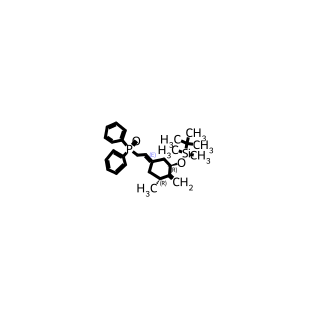 C=C1[C@H](C)C/C(=C\CP(=O)(c2ccccc2)c2ccccc2)C[C@H]1O[Si](C)(C)C(C)(C)C